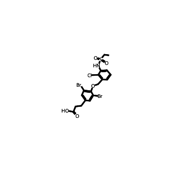 CCS(=O)(=O)Nc1cccc(COc2c(Br)cc(CCC(=O)O)cc2Br)c1Cl